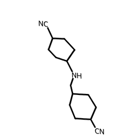 N#CC1CCC(CNC2CCC(C#N)CC2)CC1